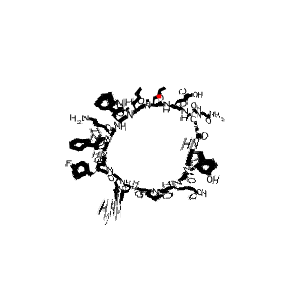 CCCC[C@H]1C(=O)N(C)[C@@H](CCCC)C(=O)N[C@@H](CCC(=O)O)C(=O)N[C@H](C(=O)NCC(N)=O)CSCC(=O)N[C@@H](Cc2ccc(O)cc2)C(=O)N(C)[C@@H](C)C(=O)N[C@@H](CCC(=O)O)C(=O)N2CCC[C@H]2C(=O)N[C@@H](Cc2c[nH]cn2)C(=O)N[C@@H](CCCCN)C(=O)N2C[C@H](Cc3ccc(F)cc3)C[C@H]2C(=O)N[C@@H](Cc2c[nH]c3ccccc23)C(=O)N[C@@H](CCCCN)C(=O)N[C@@H](Cc2c[nH]c3ccccc23)C(=O)N1C